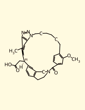 COc1cc2ccc1CCCCCCn1nnc3c(C)c(ccc31)[C@H](CC(=O)O)c1ccc3c(c1)CN(CC3)C2=O